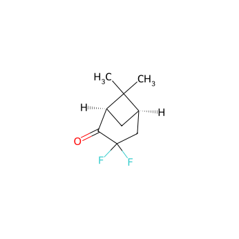 CC1(C)[C@@H]2C[C@H]1C(=O)C(F)(F)C2